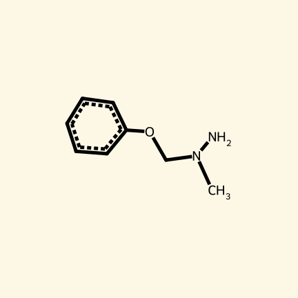 CN(N)COc1ccccc1